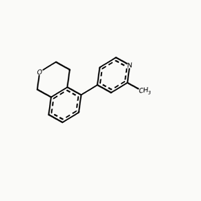 Cc1cc(-c2cccc3c2CCOC3)ccn1